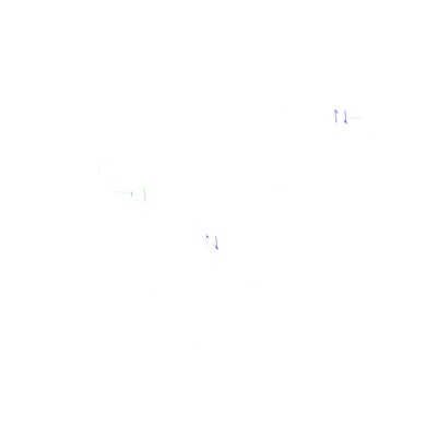 Cc1cc[n+](CCCN)cc1.Cl.[Cl-]